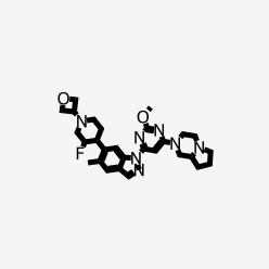 COc1nc(N2CCN3CCCC3C2)cc(-n2ncc3cc(C)c(C4CCN(C5COC5)CC4F)cc32)n1